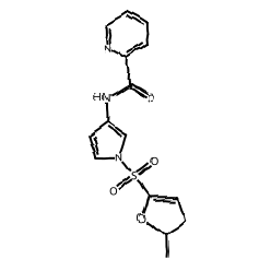 CC1CC=C(S(=O)(=O)n2ccc(NC(=O)c3ccccn3)c2)O1